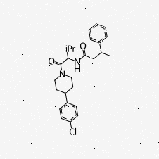 CC(CC(=O)NC(C(=O)N1CCC(c2ccc(Cl)cc2)CC1)C(C)C)c1ccccc1